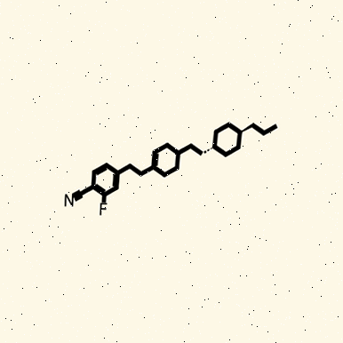 CCC[C@H]1CC[C@H](CCC2CC=C(CCc3ccc(C#N)c(F)c3)CC2)CC1